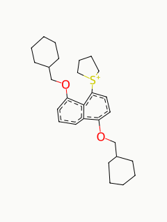 c1cc(OCC2CCCCC2)c2c([S+]3CCCC3)ccc(OCC3CCCCC3)c2c1